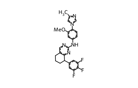 COc1cc(Nc2ncc3c(n2)C(c2cc(F)c(F)c(F)c2)CCC3)ccc1-n1cnc(C)c1